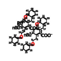 CCCCc1cc2c(c(C(=O)[O-])c1CCOc1ccccc1)Cc1ccccc1O2.CCCCc1cc2c(c(C(=O)[O-])c1CCOc1ccccc1)Cc1ccccc1O2.[Pt+2]